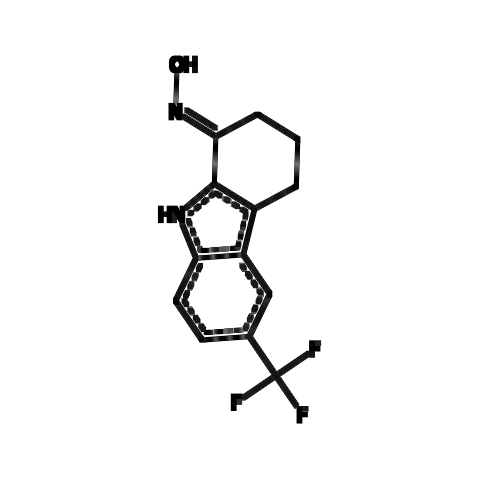 ON=C1CCCc2c1[nH]c1ccc(C(F)(F)F)cc21